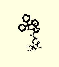 Cn1ncc(NC(=O)CN(C(=O)O)C(C)(C)C)c1NC(c1ccccc1)(c1ccccc1)c1ccccc1